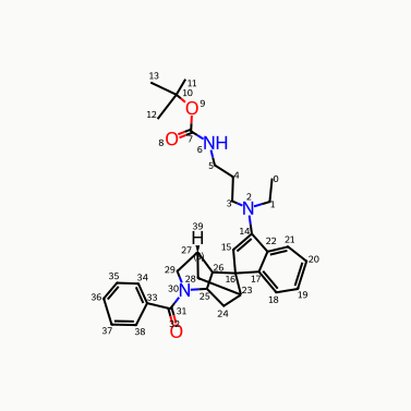 CCN(CCCNC(=O)OC(C)(C)C)C1=CC2(c3ccccc31)C1CC3C2[C@H](C1)CN3C(=O)c1ccccc1